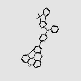 CC1(C)c2ccccc2-c2cc(N(c3ccccc3)c3ccc(-c4cc5c6c(c4)c4cccc7c4n6-c4c(cccc4O5)O7)cc3)ccc21